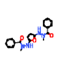 CN(Nc1ccc(NN(C)C(=O)c2ccccc2)o1)C(=O)c1ccccc1